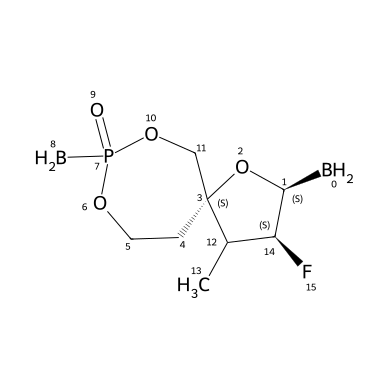 B[C@@H]1O[C@@]2(CCOP(B)(=O)OC2)C(C)[C@@H]1F